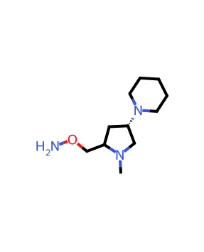 CN1C[C@@H](N2CCCCC2)CC1CON